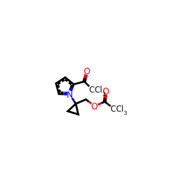 O=C(OCC1(n2cccc2C(=O)C(Cl)(Cl)Cl)CC1)C(Cl)(Cl)Cl